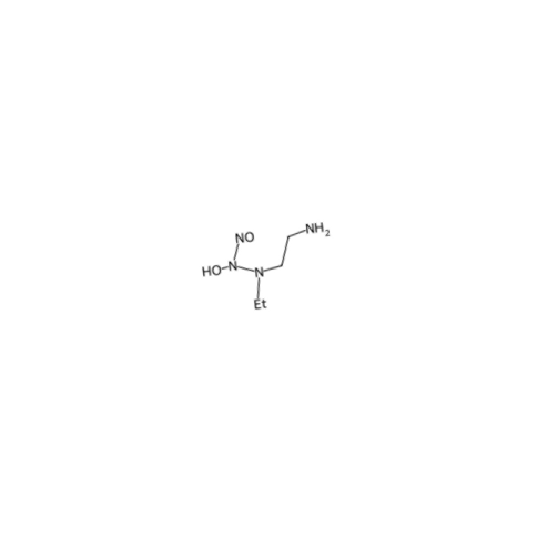 CCN(CCN)N(O)N=O